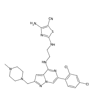 CN1CCN(Cc2cc3c(NCCNc4nc(N)c(C#N)s4)nc(-c4ccc(Cl)cc4Cl)cn3n2)CC1